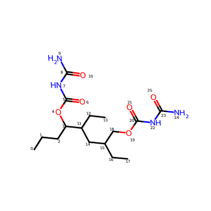 CCCC(OC(=O)NC(N)=O)C(CC)CC(CC)COC(=O)NC(N)=O